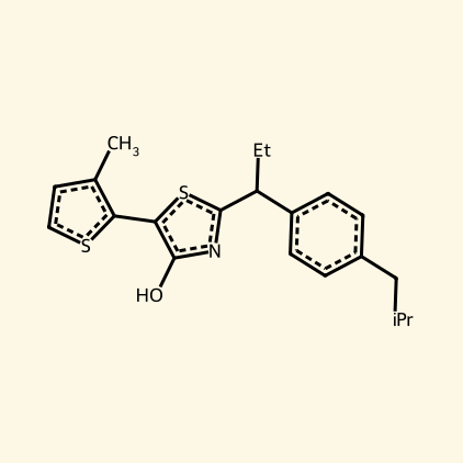 CCC(c1ccc(CC(C)C)cc1)c1nc(O)c(-c2sccc2C)s1